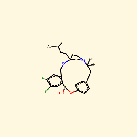 CC(=O)[C@@H](C)CCC12CCN(C1)[C@H](C(C)=O)Cc1ccc(cc1)OB(O)c1cc(F)c(F)cc1CN2